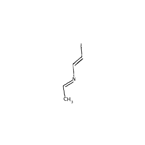 CC=NC=CI